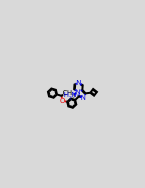 CC(Oc1cccc(C2=NC(C3=CC=C3)=C3C=NC=C[N+]23N)c1)c1ccccc1